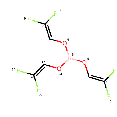 FC(F)=COB(OC=C(F)F)OC=C(F)F